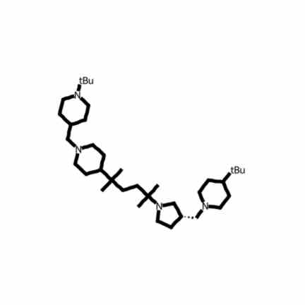 CC(C)(C)C1CCN(C[C@@H]2CCN(C(C)(C)CCC(C)(C)C3CCN(CC4CCN(C(C)(C)C)CC4)CC3)C2)CC1